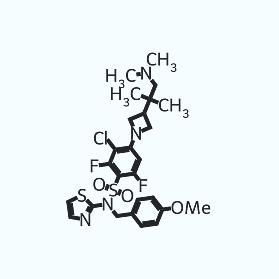 COc1ccc(CN(c2nccs2)S(=O)(=O)c2c(F)cc(N3CC(C(C)(C)CN(C)C)C3)c(Cl)c2F)cc1